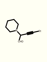 [CH2]CC#CC(C=O)N1CCCCC1